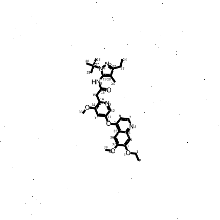 CCOc1cc2nccc(Oc3cnc(CC(=O)Nc4c(C)c(CC)nn4C(C)(C)C)c(OC)c3)c2cc1OC